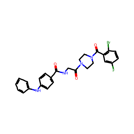 O=C(NCC(=O)N1CCN(C(=O)c2cc(F)ccc2Br)CC1)c1ccc(Nc2ccccc2)cc1